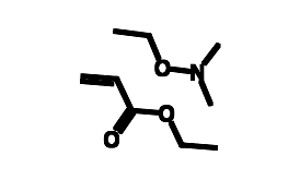 C=CC(=O)OCC.CCON(C)C